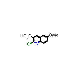 COc1ccc2nc(Cl)c(C(=O)O)cc2c1